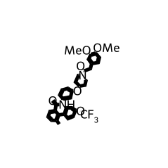 COc1ccc(CC(=O)N2CCC(Oc3cccc(NC(=O)c4cccc(C)c4-c4ccc(OC(F)(F)F)cc4)c3)CC2)cc1OC